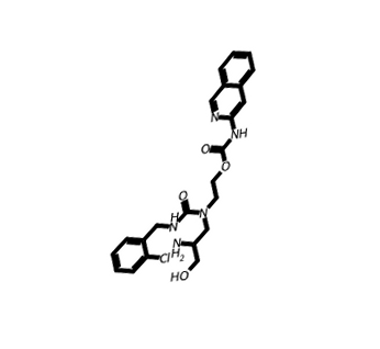 NC(CO)CN(CCOC(=O)Nc1cc2ccccc2cn1)C(=O)NCc1ccccc1Cl